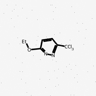 CCOc1ccc(C(Cl)(Cl)Cl)nn1